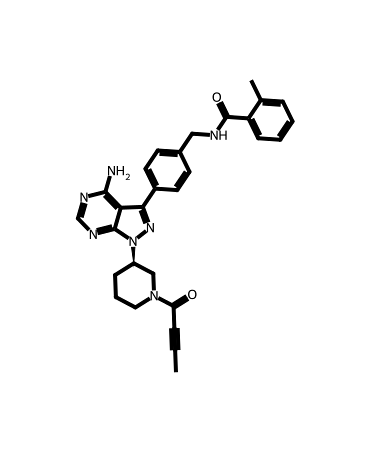 CC#CC(=O)N1CCC[C@@H](n2nc(-c3ccc(CNC(=O)c4ccccc4C)cc3)c3c(N)ncnc32)C1